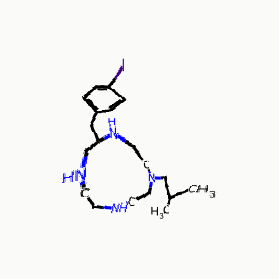 CC(C)CN1CCNCCNCC(Cc2ccc(I)cc2)NCC1